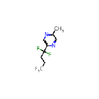 Cc1cnc(C(F)(F)CCC(F)(F)F)cn1